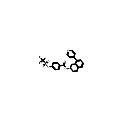 O=C(N[C@@H]1CCc2cccc(-c3ccncc3)c2C1)c1ccc(OS(=O)(=O)C(F)(F)F)cc1